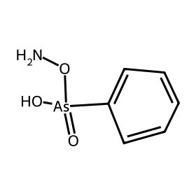 NO[As](=O)(O)c1ccccc1